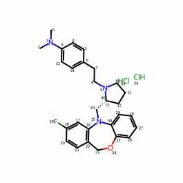 CN(C)c1ccc(CCN2CCC[C@@H]2CN2c3cc(F)ccc3COc3ccccc32)cc1.Cl.Cl